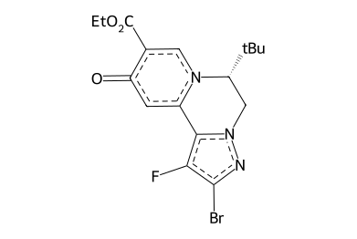 CCOC(=O)c1cn2c(cc1=O)-c1c(F)c(Br)nn1C[C@H]2C(C)(C)C